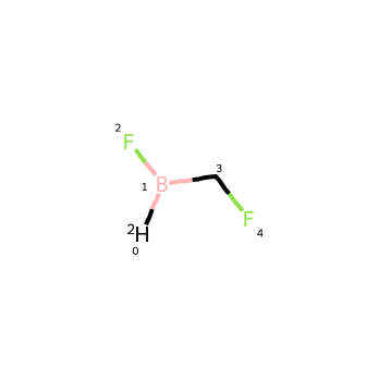 [2H]B(F)CF